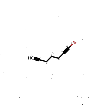 C#CCCCC#CBr